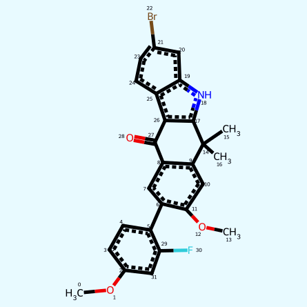 COc1ccc(-c2cc3c(cc2OC)C(C)(C)c2[nH]c4cc(Br)ccc4c2C3=O)c(F)c1